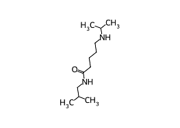 CC(C)CNC(=O)CCCCNC(C)C